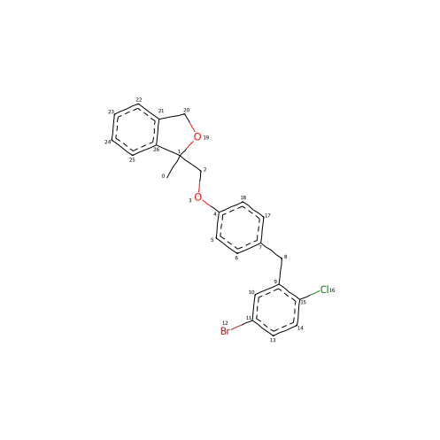 CC1(COc2ccc(Cc3cc(Br)ccc3Cl)cc2)OCc2ccccc21